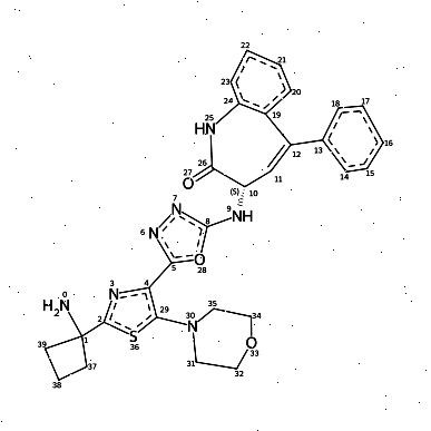 NC1(c2nc(-c3nnc(N[C@H]4C=C(c5ccccc5)c5ccccc5NC4=O)o3)c(N3CCOCC3)s2)CCC1